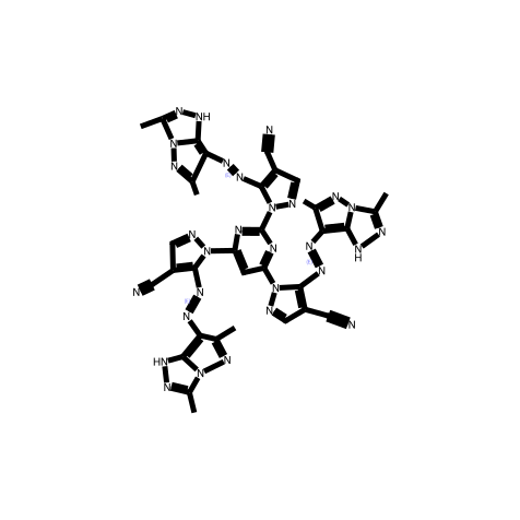 Cc1nn2c(C)n[nH]c2c1/N=N/c1c(C#N)cnn1-c1cc(-n2ncc(C#N)c2/N=N/c2c(C)nn3c(C)n[nH]c23)nc(-n2ncc(C#N)c2/N=N/c2c(C)nn3c(C)n[nH]c23)n1